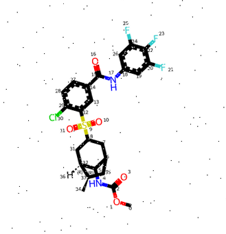 COC(=O)NC1C2CC(S(=O)(=O)c3cc(C(=O)Nc4cc(F)c(F)c(F)c4)ccc3Cl)C[C@@H]1[C@H](C)C2